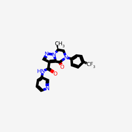 C[C@H]1CN(c2ccc(C(F)(F)F)cc2)C(=O)c2c(C(=O)Nc3cccnc3)cnn21